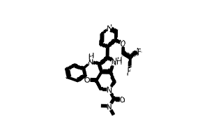 CN(C)C(=O)N1CC(=O)c2c([nH]c(-c3ccncc3OCC(F)F)c2Nc2ccccc2)C1